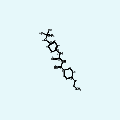 CCOC1CCN(C(=N)NC(=N)NC2=CC=C(OC(F)(F)F)CC2)CC1